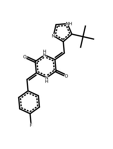 CC(C)(C)c1[nH]cnc1/C=c1\[nH]c(=O)/c(=C/c2ccc(F)cc2)[nH]c1=O